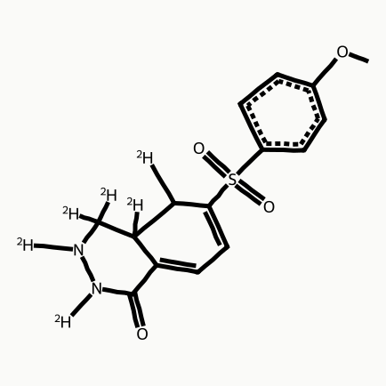 [2H]C1C(S(=O)(=O)c2ccc(OC)cc2)=CC=C2C(=O)N([2H])N([2H])C([2H])([2H])C21[2H]